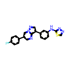 Fc1ccc(-c2cnc3c(-c4cccc(Nc5nncs5)c4)cnn3c2)cc1